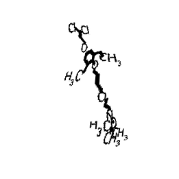 CCc1cc(OCC=C(Cl)Cl)cc(CC)c1OCCCCOCCC=NOC(C)(C)C